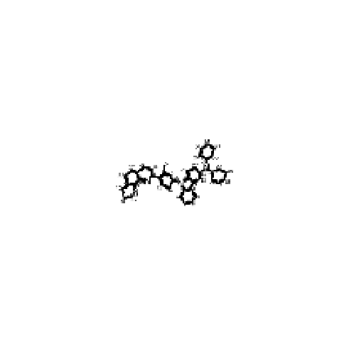 Cc1cc(-n2c3ccccc3c3cc(N(c4ccccc4)c4ccccc4)ccc32)ccc1-c1ccc2ccc3cccnc3c2n1